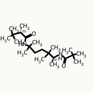 C[C@H](C(=O)NC(C)(C)CCC(C)(C)[C@H](C)NC(=O)C(C)(C)C)C(C)(C)C